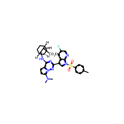 CCOC(=O)[C@H]1[C@H]2CC[C@H](CC2)[C@@H]1Nc1nc(-c2cn(S(=O)(=O)c3ccc(C)cc3)c3ncc(F)cc23)nn2c(N(C)C)ccc12